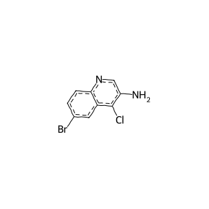 Nc1cnc2ccc(Br)cc2c1Cl